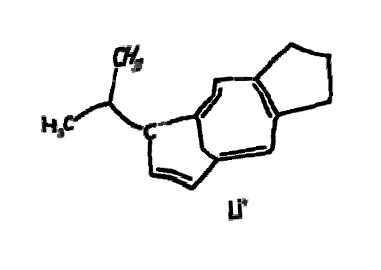 CC(C)[c-]1ccc2cc3c(cc21)CCC3.[Li+]